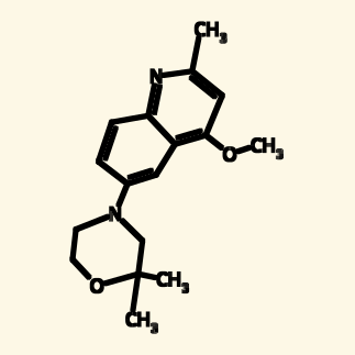 COc1cc(C)nc2ccc(N3CCOC(C)(C)C3)cc12